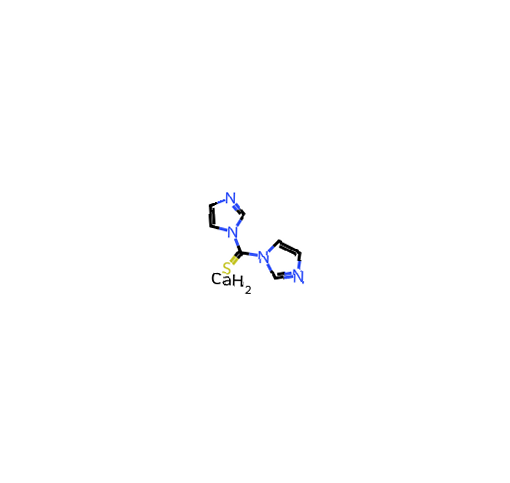 S=C(n1ccnc1)n1ccnc1.[CaH2]